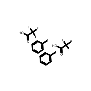 Ic1ccccc1.Ic1ccccc1.O=C(O)C(F)(F)F.O=C(O)C(F)(F)F